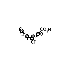 Cc1cc(OCC2(O)CCOCC2)ccc1-c1cc(C(F)(F)F)cc2c1CC[C@H]2Oc1ccc2c(c1)OC[C@H]2CC(=O)O